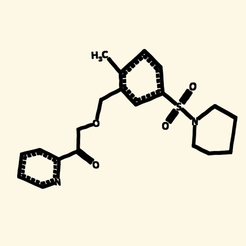 Cc1ccc(S(=O)(=O)N2CCCCC2)cc1COCC(=O)c1ccccn1